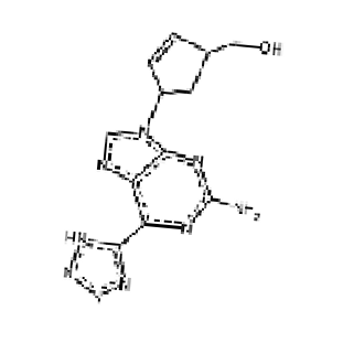 Nc1nc(-c2nnn[nH]2)c2ncn(C3C=CC(CO)C3)c2n1